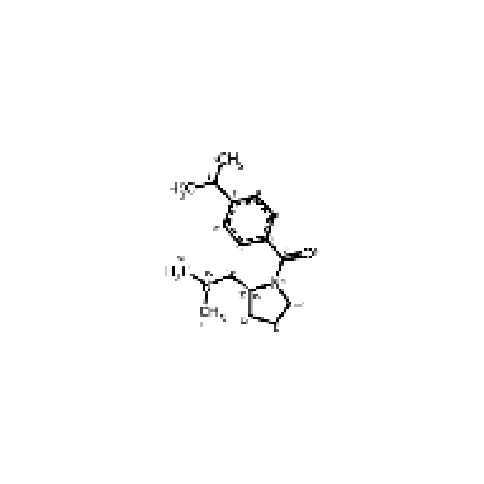 CC(C)c1ccc(C(=O)N2CCC[C@H]2CN(C)C)cc1